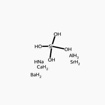 O[Si](O)(O)O.[AlH3].[BaH2].[CaH2].[NaH].[SrH2]